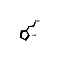 CCCCCC[C]1C=CC=C1.[LiH]